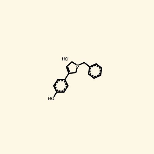 Cl.Oc1ccc(C2=CCN(Cc3ccccc3)C2)cc1